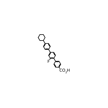 O=C(O)c1ccc(-c2ccc(-c3ccc(C4CCCCC4)cc3)cc2F)cc1